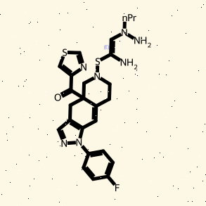 CCCN(N)/C=C(\N)SN1CCC2=Cc3c(cnn3-c3ccc(F)cc3)CC2(C(=O)c2cscn2)C1